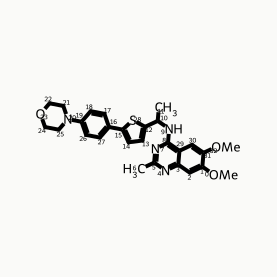 COc1cc2nc(C)nc(NC(C)c3ccc(-c4ccc(N5CCOCC5)cc4)s3)c2cc1OC